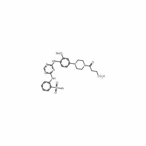 COc1cc(N2CCN(C(=O)CCC(=O)O)CC2)ccc1Nc1ncnc(Nc2ccccc2S(=O)(=O)C(C)C)n1